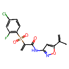 C=C(C)c1cc(NC(=O)C(=C)S(=O)(=O)c2ccc(Cl)cc2F)no1